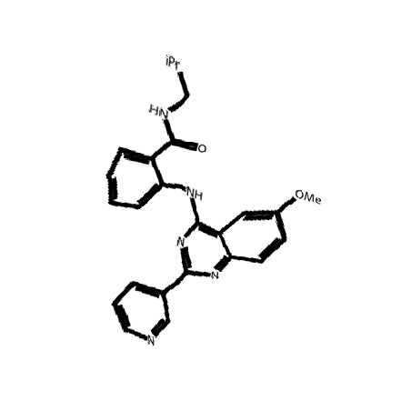 COc1ccc2nc(-c3cccnc3)nc(Nc3ccccc3C(=O)NCC(C)C)c2c1